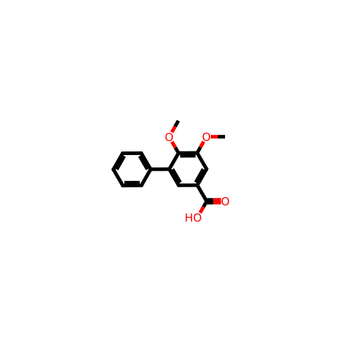 COc1cc(C(=O)O)cc(-c2ccccc2)c1OC